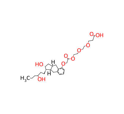 CCC[C@H](O)CC[C@@H]1[C@H]2Cc3cccc(OCC(=O)OCCOCCOCCC(=O)O)c3C[C@H]2C[C@H]1O